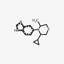 CC1[CH]SCC(C2CC2)N1c1ccc2[nH]cnc2c1